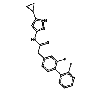 O=C(Cc1ccc(-c2ccccc2F)c(F)c1)Nc1cc(C2CC2)[nH]n1